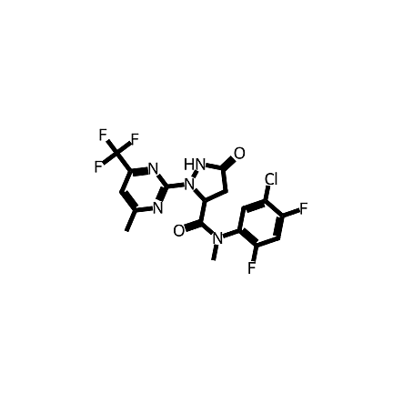 Cc1cc(C(F)(F)F)nc(N2NC(=O)CC2C(=O)N(C)c2cc(Cl)c(F)cc2F)n1